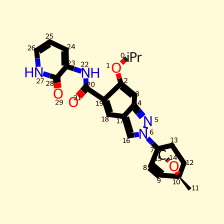 CC(C)Oc1cc2nn(C34C#C[C@@](C)(CC3)OC4)cc2cc1C(=O)Nc1ccc[nH]c1=O